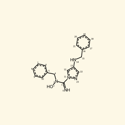 N=C(N(O)Cc1ccccc1)n1cc(NCc2ccccc2)cn1